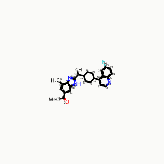 COC(=O)c1cc(C)c2nc(C(C)C3CCC(c4ccnc5ccc(F)cc45)CC3)[nH]c2c1